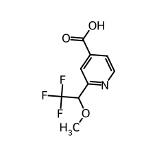 COC(c1cc(C(=O)O)ccn1)C(F)(F)F